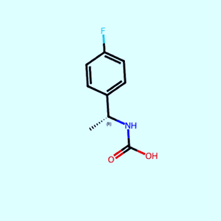 C[C@@H](NC(=O)O)c1ccc(F)cc1